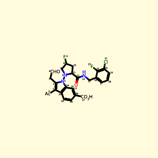 CC(=O)c1c(CC=O)n(N2CC(F)CC2C(=O)NCc2cccc(Cl)c2F)c2cc(C(=O)O)ccc12